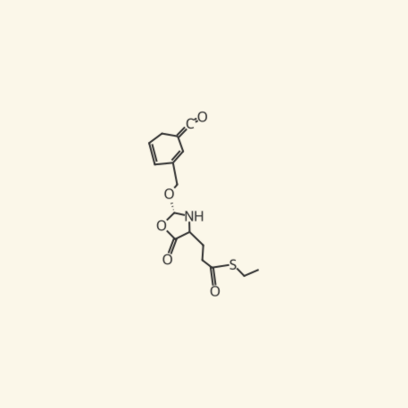 CCSC(=O)CCC1N[C@@H](OCC2=CC(=C=O)CC=C2)OC1=O